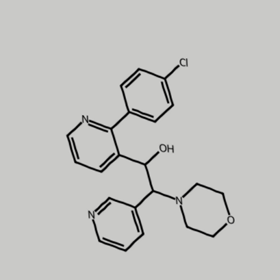 OC(c1cccnc1-c1ccc(Cl)cc1)C(c1cccnc1)N1CCOCC1